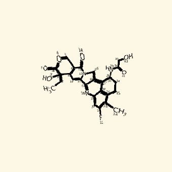 CCC1(O)C(=O)OCc2c1cc1n(c2=O)Cc2c-1nc1cc(F)c(C)c3c1c2[C@@H](NC(=O)CO)CC3